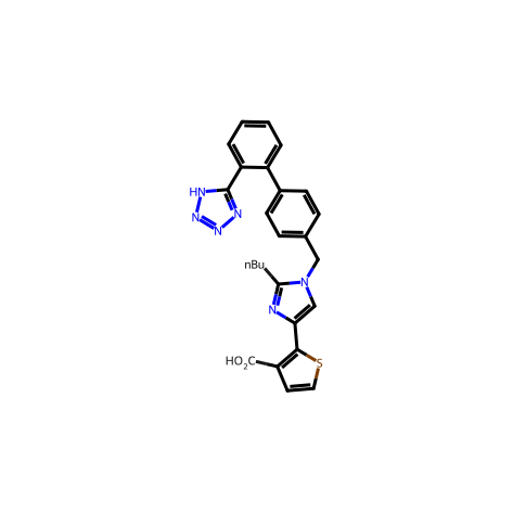 CCCCc1nc(-c2sccc2C(=O)O)cn1Cc1ccc(-c2ccccc2-c2nnn[nH]2)cc1